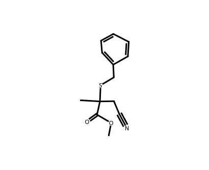 COC(=O)C(C)(CC#N)SCc1ccccc1